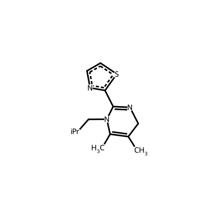 CC1=C(C)N(CC(C)C)C(c2nccs2)=NC1